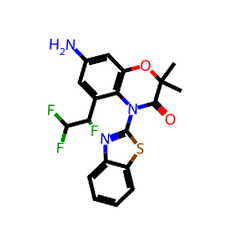 CC1(C)Oc2cc(N)cc(C(F)C(F)F)c2N(c2nc3ccccc3s2)C1=O